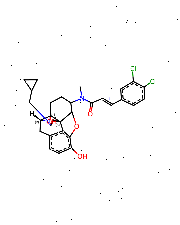 CN(C(=O)/C=C/c1ccc(Cl)c(Cl)c1)C1CC[C@@]2(O)[C@H]3Cc4ccc(O)c5c4[C@@]2(CCN3CC2CC2)C1O5